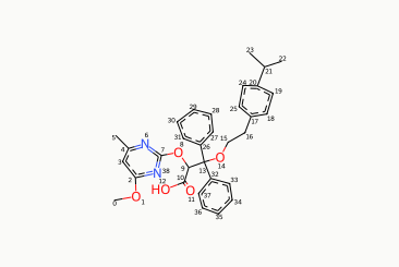 COc1cc(C)nc(OC(C(=O)O)C(OCCc2ccc(C(C)C)cc2)(c2ccccc2)c2ccccc2)n1